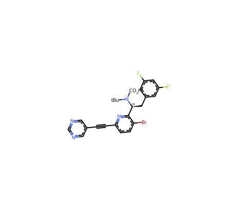 CC(C)(C)N(C(=O)O)[C@@H](Cc1cc(F)cc(F)c1)c1nc(C#Cc2cncnc2)ccc1Br